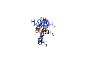 C=C(C)c1nc(C(N)=O)c(Nc2ccc(N3CCC(N4CCN(C)CC4)CC3)c(C)c2)nc1N[C@H]1CC[C@H](O)CC1